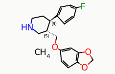 C.Fc1ccc([C@@H]2CCNC[C@H]2COc2ccc3c(c2)OCO3)cc1